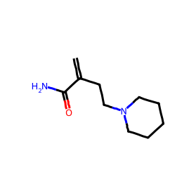 C=C(CCN1CCCCC1)C(N)=O